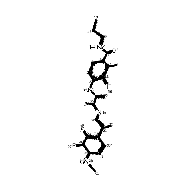 C=C(Nc1ccc(C(=O)NCCC)c(C)c1F)/C(C)=N/C=C(\C)C1=C(F)C(F)C(NC)C=C1